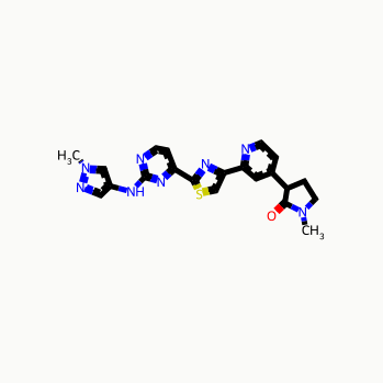 CN1CCC(c2ccnc(-c3csc(-c4ccnc(Nc5cnn(C)c5)n4)n3)c2)C1=O